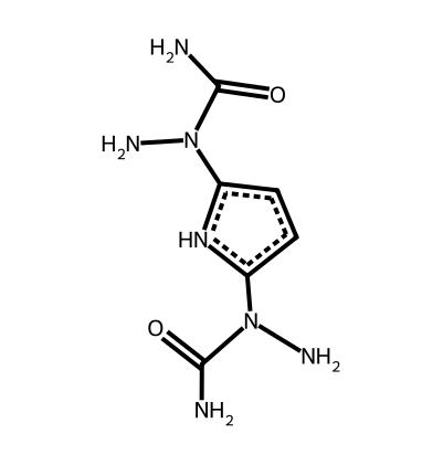 NC(=O)N(N)c1ccc(N(N)C(N)=O)[nH]1